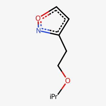 CC(C)OCCc1ccon1